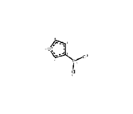 ClP(Cl)c1ccoc1